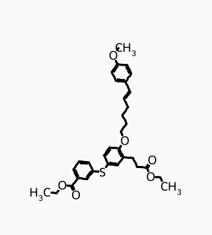 CCOC(=O)CCc1cc(Sc2cccc(C(=O)OCC)c2)ccc1OCCCCC=Cc1ccc(OC)cc1